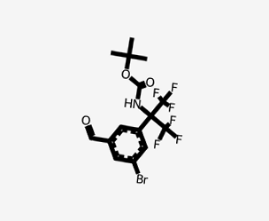 CC(C)(C)OC(=O)NC(c1cc(Br)cc(C=O)c1)(C(F)(F)F)C(F)(F)F